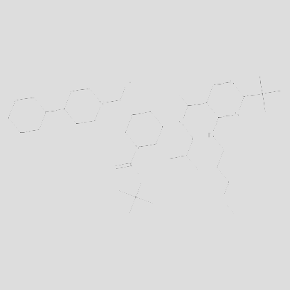 COCCCNC1NC(C(C)(C)C)NCC1C(O)N(CC(C)C)[C@H]1C[C@@H](C(O)N2CCC(C3CCCCC3)CC2)CN(C(=O)OC(C)(C)C)C1